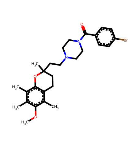 COc1c(C)c(C)c2c(c1C)CCC(C)(CCN1CCN(C(=O)c3ccc(Br)cc3)CC1)O2